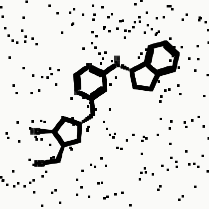 OC[C@@H]1C[C@@H](Cc2cc(N[C@H]3CCc4ccccc43)ncn2)C[C@@H]1O